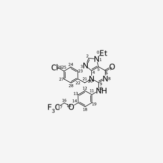 CCn1cnc2c1c(=O)nc(Nc1ccc(OCC(F)(F)F)cc1)n2Cc1ccc(Cl)cc1